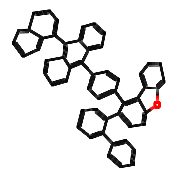 c1ccc(-c2ccccc2-c2ccc3oc4ccccc4c3c2-c2ccc(-c3c4ccccc4c(-c4cccc5ccccc45)c4ccccc34)cc2)cc1